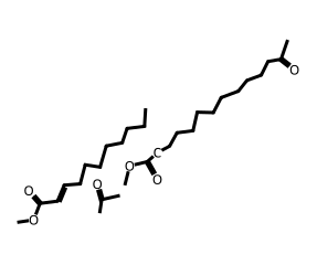 CC(C)=O.CCCCCCCCC=CC(=O)OC.COC(=O)CCCCCCCCCCCC(C)=O